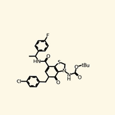 CC(NC(=O)C1=CC(Cc2ccc(Cl)cc2)C(=O)C2=C1SCN2NC(=O)OC(C)(C)C)c1ccc(F)cc1